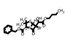 CCCCOC(=O)C(O)C1(Br)C(=O)N2[C@@H](C(=O)OCc3ccccc3)C(C)(C)S[C@@H]21